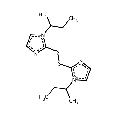 CCC(C)n1ccnc1SSc1nccn1C(C)CC